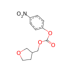 O=C(OCC1CCOC1)Oc1ccc([N+](=O)[O-])cc1